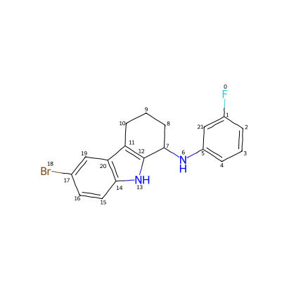 Fc1cccc(NC2CCCc3c2[nH]c2ccc(Br)cc32)c1